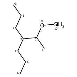 CCCC(CCC)C(C)O[SiH3]